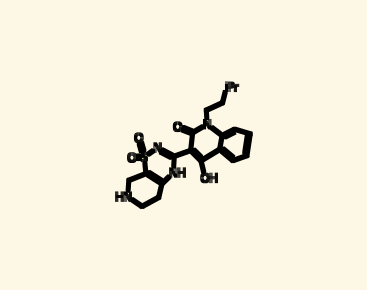 CC(C)CCn1c(=O)c(C2=NS(=O)(=O)C3=C(CCNC3)N2)c(O)c2ccccc21